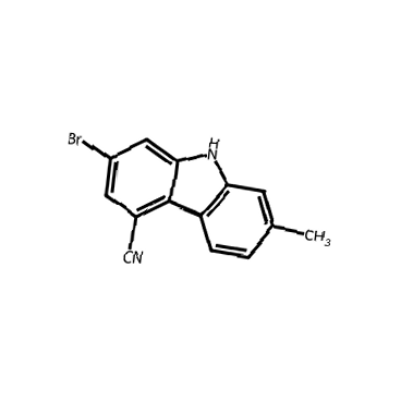 Cc1ccc2c(c1)[nH]c1cc(Br)cc(C#N)c12